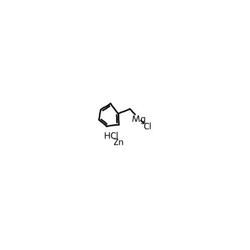 Cl.[Cl][Mg][CH2]c1ccccc1.[Zn]